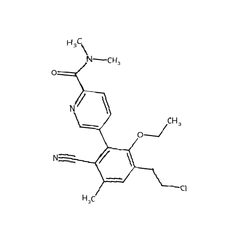 CCOc1c(CCCl)cc(C)c(C#N)c1-c1ccc(C(=O)N(C)C)nc1